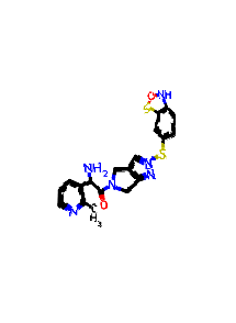 Cc1ncccc1C(N)C(=O)N1Cc2cn(Sc3ccc4c(c3)SON4)nc2C1